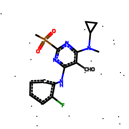 CN(c1nc(S(C)(=O)=O)nc(Nc2ccccc2F)c1C=O)C1CC1